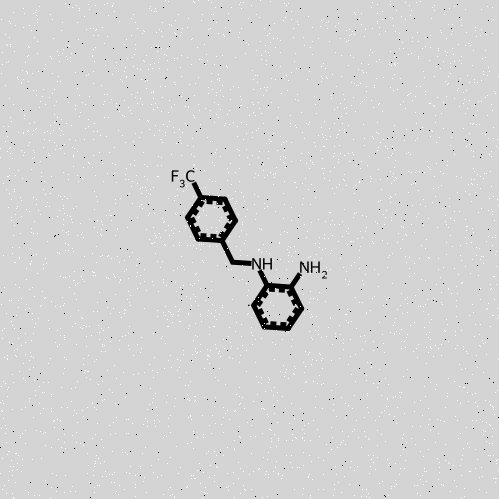 Nc1ccc[c]c1NCc1ccc(C(F)(F)F)cc1